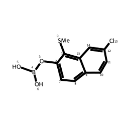 CSc1c(OB(O)O)ccc2ccc(Cl)cc12